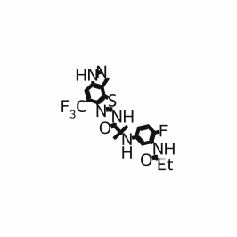 CCC(=O)Nc1cc(NC(C)(C)C(=O)Nc2nc3c(C(F)(F)F)cc4[nH]ncc4c3s2)ccc1F